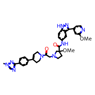 COc1cc(-c2n[nH]c3ccc(NC(=O)C4(OC)CCN(CC(=O)N5CC=C(c6ccc(-c7ncn(C)n7)cc6)CC5)C4)cc23)ccn1